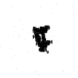 CC[C@@]1(O)C(=O)OCc2c1cc1n(c2=O)Cc2c-1nc1cc(F)c(C)c3c1c2[C@@H](NC(=O)COCNC(=O)CNC(=O)OCc1ccc(NC(=O)[C@H](CCCNC(N)=O)NC(=O)[C@@H](NC(=O)[C@H](CCC(=O)O)C([SiH3])NC(=O)CCOCCOCCOCCOCCNC(=O)COC2C#CCCCCC2)C(C)C)cc1)CC3